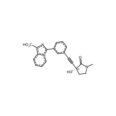 CN1CC[C@@](O)(C#Cc2cccc(-c3nc(C(=O)O)c4ccccn34)c2)C1=O